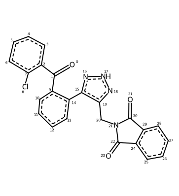 O=C(c1ccccc1Cl)c1ccccc1-c1n[nH]nc1CN1C(=O)c2ccccc2C1=O